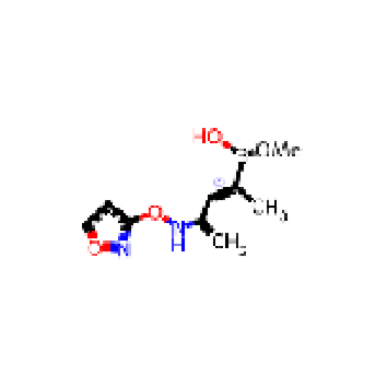 C=C(/C=C(\C)B(O)OC)NOc1ccon1